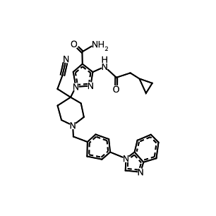 N#CCC1(n2cc(C(N)=O)c(NC(=O)CC3CC3)n2)CCN(Cc2ccc(-n3cnc4ccccc43)cc2)CC1